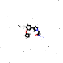 COc1ccc(-c2ccn(CC(N)=O)c2)cc1OC1CCCC1